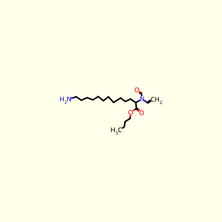 C=CN(C=O)C(CCCCCCCCCCCN)C(=O)OCCCC